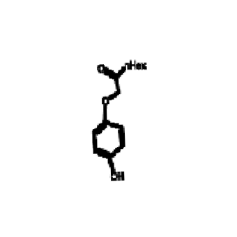 CCCCCCC(=O)COc1ccc(O)cc1